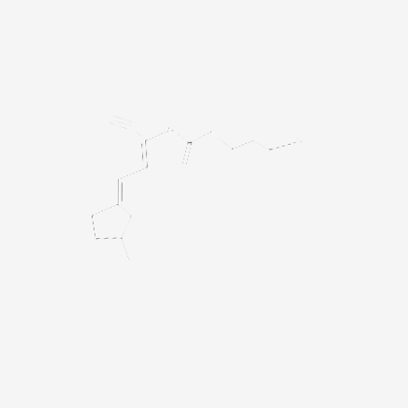 C#C/C(=C\C=C1\CCC(C)C1)NC(=O)CCCCN